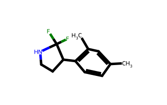 Cc1ccc(C2CCNC2(F)F)c(C)c1